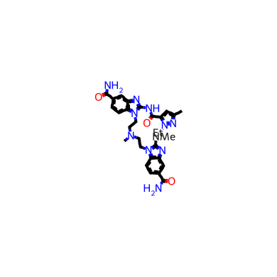 CCn1nc(C)cc1C(=O)Nc1nc2cc(C(N)=O)ccc2n1CCN(C)CCn1c(NC)nc2cc(C(N)=O)ccc21